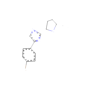 C[C@H]1CC[C@@H](c2nc(-c3ccc(Br)cc3)c[nH]2)N1